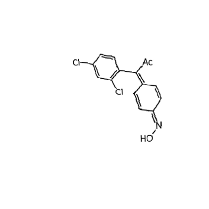 CC(=O)C(=C1C=CC(=NO)C=C1)c1ccc(Cl)cc1Cl